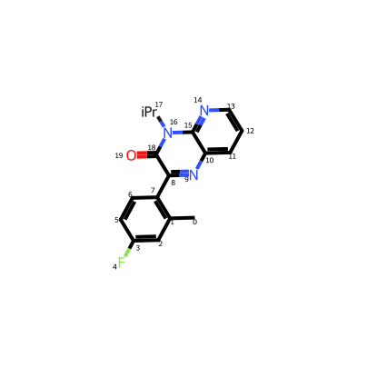 Cc1cc(F)ccc1-c1nc2cccnc2n(C(C)C)c1=O